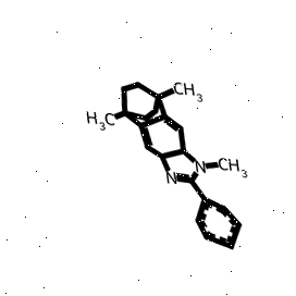 CN1C(c2ccccc2)=NC2C=C3C(=CC21)C1(C)CCC3(C)CC1